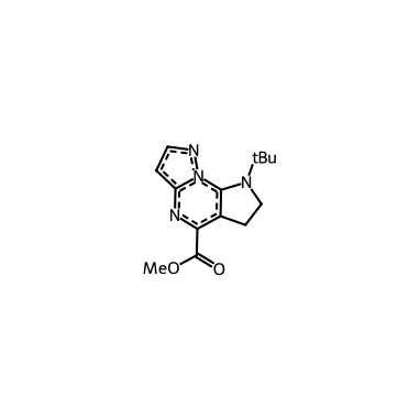 COC(=O)c1nc2ccnn2c2c1CCN2C(C)(C)C